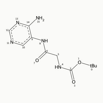 CC(C)(C)OC(=O)NCC(=O)Nc1cncnc1N